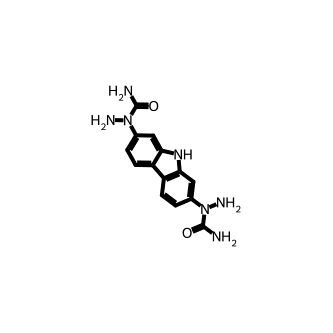 NC(=O)N(N)c1ccc2c(c1)[nH]c1cc(N(N)C(N)=O)ccc12